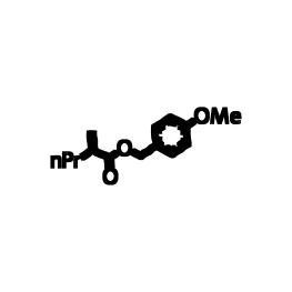 C=C(CCC)C(=O)OCc1ccc(OC)cc1